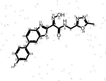 Cc1nnc(CNC(=O)/C(=N\O)c2nc3ccc(-c4ccc(F)cc4)cc3s2)o1